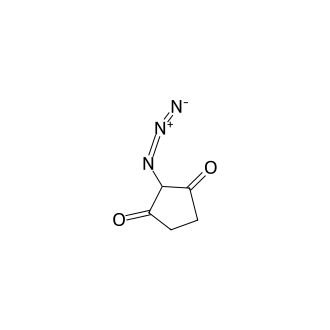 [N-]=[N+]=NC1C(=O)CCC1=O